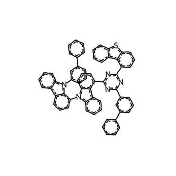 c1ccc(-c2cccc(-c3nc(-c4cccc5sc6ccccc6c45)nc(-c4cccc5c4c4ccccc4n5-c4cccc5c6ccccc6n(-c6cccc(-c7ccccc7)c6)c45)n3)c2)cc1